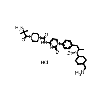 CCN(C(C)Cc1ccc(-n2ccc(NC(=O)N3CCN(C(=O)C(C)(C)N)CC3)nc2=O)cc1)C1CCC(CN)CC1.Cl